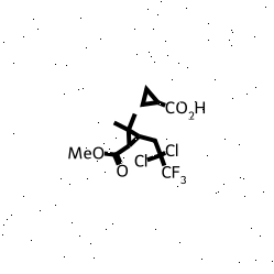 COC(=O)C1C(CC(Cl)(Cl)C(F)(F)F)C1(C)C.O=C(O)C1CC1